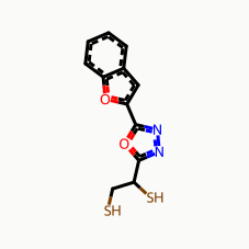 SCC(S)c1nnc(-c2cc3ccccc3o2)o1